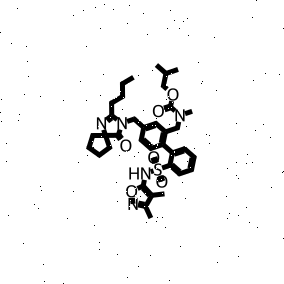 CCCCC1=NC2(CCCC2)C(=O)N1Cc1ccc(-c2ccccc2S(=O)(=O)Nc2onc(C)c2C)c(CN(C)C(=O)OCC(C)C)c1